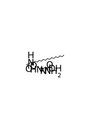 CCCCCCCCCCCCCCCC(=O)NC1CC1=O.N[C@@H](Cc1c[nH]cn1)C(=O)O